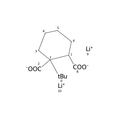 CC(C)(C)C1(C(=O)[O-])CCCCC1C(=O)[O-].[Li+].[Li+]